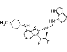 CN1CCC(Nc2cccc3c(C(F)C(F)F)c(C#CCNc4cccc5cc[nH]c45)sc23)CC1